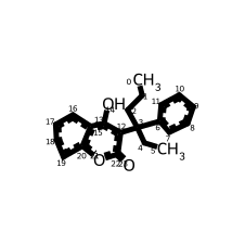 CCCC(CC)(c1ccccc1)c1c(O)c2ccccc2oc1=O